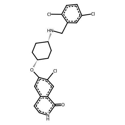 O=c1[nH]ccc2cc(O[C@H]3CC[C@@H](NCc4cc(Cl)ccc4Cl)CC3)c(Cl)cc12